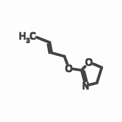 CC=CCOC1=NCCO1